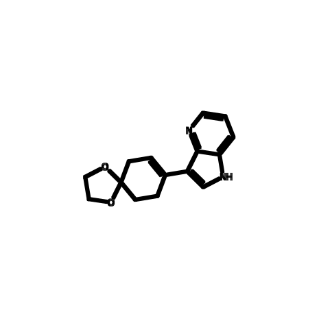 C1=C(c2c[nH]c3cccnc23)CCC2(C1)OCCO2